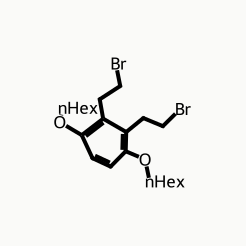 CCCCCCOc1ccc(OCCCCCC)c(CCBr)c1CCBr